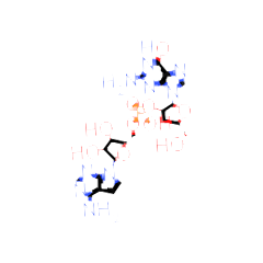 Nc1nc2c(ncn2[C@@H]2O[C@H](CO)C[C@H]2OP(=O)(O)OC[C@H]2O[C@@H](n3ccc4c(N)ncnc43)[C@H](O)[C@@H]2O)c(=O)[nH]1